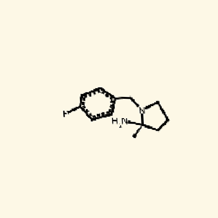 C[C@]1(N)CCCN1Cc1ccc(F)cc1